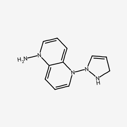 NN1C=CC=C2C1=CC=CN2N1C=CCN1